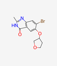 Cc1nc2cc(Br)c(OC3CCOC3)cc2c(=O)[nH]1